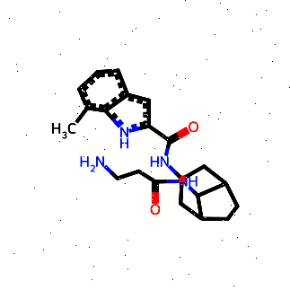 Cc1cccc2cc(C(=O)NC3CC4CCC(C3)C4NC(=O)CCN)[nH]c12